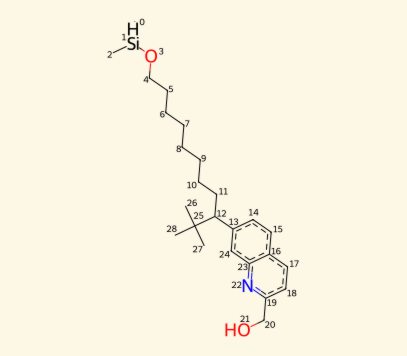 C[SiH](C)OCCCCCCCCC(c1ccc2ccc(CO)nc2c1)C(C)(C)C